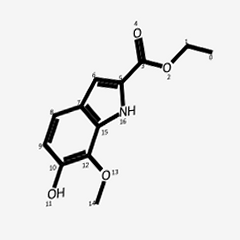 CCOC(=O)c1cc2ccc(O)c(OC)c2[nH]1